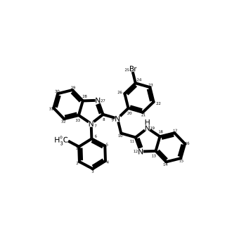 Cc1ccccc1-n1c(N(Cc2nc3ccccc3[nH]2)c2cccc(Br)c2)nc2ccccc21